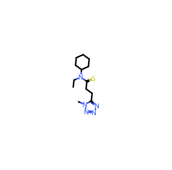 CCN(C(=S)CCc1nnnn1C)C1CCCCC1